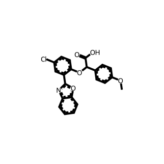 COc1ccc(C(Oc2ccc(Cl)cc2-c2nc3ccccc3o2)C(=O)O)cc1